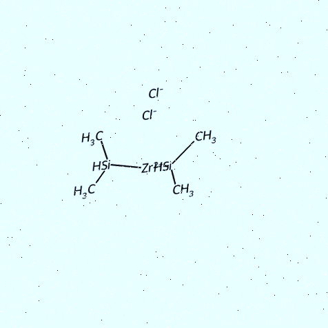 C[SiH](C)[Zr+2][SiH](C)C.[Cl-].[Cl-]